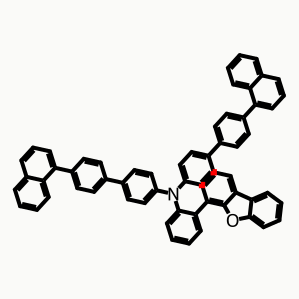 c1ccc(N(c2ccc(-c3ccc(-c4cccc5ccccc45)cc3)cc2)c2ccc(-c3ccc(-c4cccc5ccccc45)cc3)cc2)c(-c2cccc3c2oc2ccccc23)c1